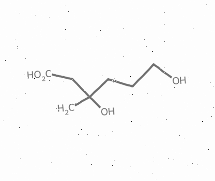 [CH2]C(O)(CCCO)CC(=O)O